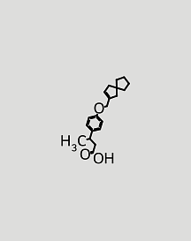 CC(CC(=O)O)c1ccc(OCC2=CCC3(CCCC3)C2)cc1